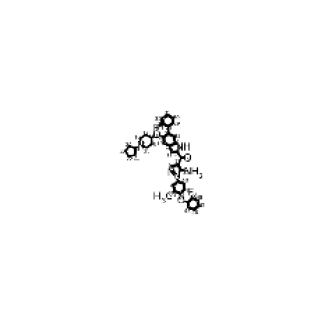 Cc1cc(-n2ncc(C(=O)c3cc4cc(OC5CCN(C6CCCC6)CC5)c(-c5ccccc5F)cc4[nH]3)c2N)ccc1Oc1ccccc1F